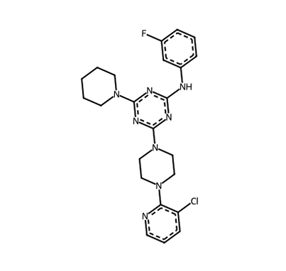 Fc1cccc(Nc2nc(N3CCCCC3)nc(N3CCN(c4ncccc4Cl)CC3)n2)c1